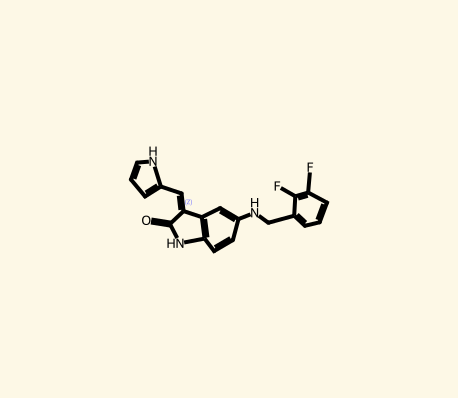 O=C1Nc2ccc(NCc3cccc(F)c3F)cc2/C1=C/c1ccc[nH]1